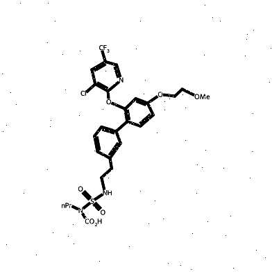 CCCN(C(=O)O)S(=O)(=O)NCCc1cccc(-c2ccc(OCCOC)cc2Oc2ncc(C(F)(F)F)cc2Cl)c1